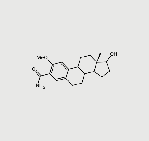 COc1cc2c(cc1C(N)=O)CCC1C2CC[C@]2(C)C(O)CCC12